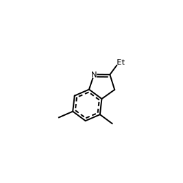 CCC1=Nc2cc(C)cc(C)c2C1